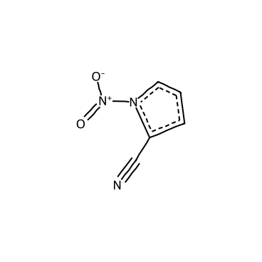 N#Cc1cccn1[N+](=O)[O-]